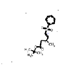 C[C@H](/C=C/S(=O)(=O)c1ccccc1)CC(=O)OC(C)(C)C